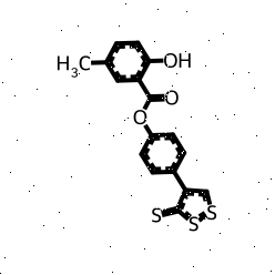 Cc1ccc(O)c(C(=O)Oc2ccc(-c3cssc3=S)cc2)c1